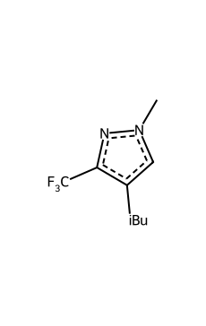 CCC(C)c1cn(C)nc1C(F)(F)F